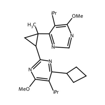 COc1nc(C2CC2(C)c2ncnc(OC)c2C(C)C)nc(C2CCC2)c1C(C)C